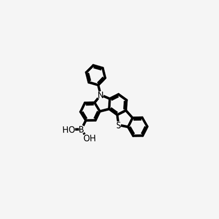 OB(O)c1ccc2c(c1)c1c3sc4ccccc4c3ccc1n2-c1ccccc1